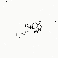 C=CCOC(=O)N1CCc2[nH]cnc2C1CCC